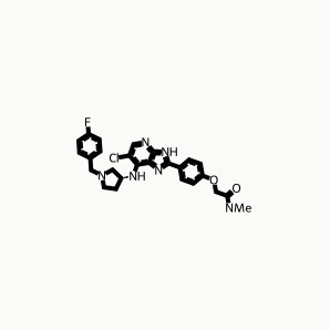 CNC(=O)COc1ccc(-c2nc3c(N[C@@H]4CCN(Cc5ccc(F)cc5)C4)c(Cl)cnc3[nH]2)cc1